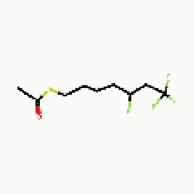 CC(=O)SCCCCC(F)CC(F)(F)F